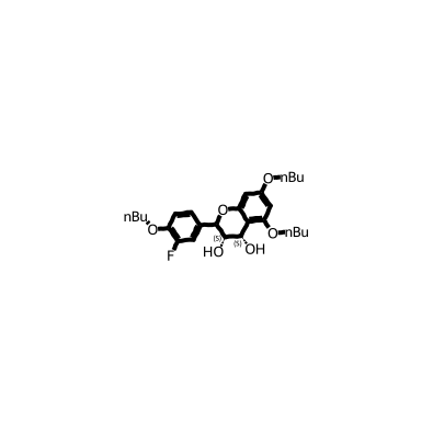 CCCCOc1cc(OCCCC)c2c(c1)OC(c1ccc(OCCCC)c(F)c1)[C@@H](O)[C@H]2O